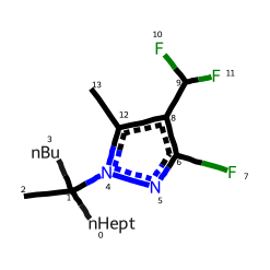 CCCCCCCC(C)(CCCC)n1nc(F)c(C(F)F)c1C